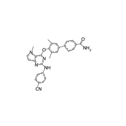 Cc1cc(-c2ccc(C(N)=O)cc2)cc(C)c1Oc1nc(Nc2ccc(C#N)cc2)nc2ccn(C)c12